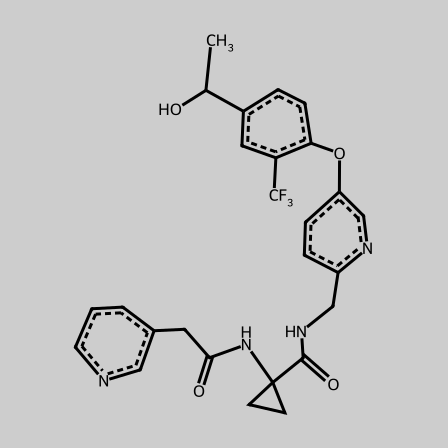 CC(O)c1ccc(Oc2ccc(CNC(=O)C3(NC(=O)Cc4cccnc4)CC3)nc2)c(C(F)(F)F)c1